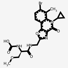 COC[C@@H](NC(=O)O)C(=O)NCc1nc2c(=O)n(C3CC3)c3c(C)c(Br)ccc3c2o1